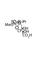 COc1nccc(-n2nc(C(C)C)c(CC[C@@H](O)C[C@@H](O)CC(=O)O)c2-c2cccc(C(F)(F)F)c2)n1